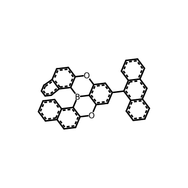 c1ccc2c3c(ccc2c1)Oc1cc(-c2c4ccccc4cc4ccccc24)cc2c1B3c1c(ccc3ccccc13)O2